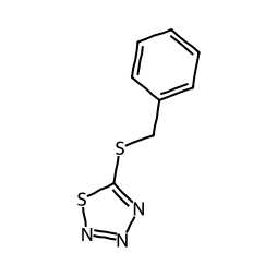 c1ccc(CSc2nnns2)cc1